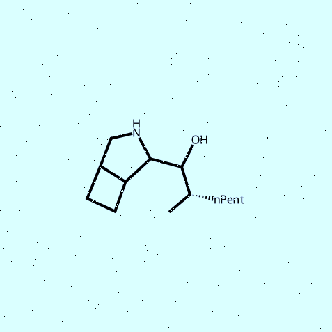 CCCCC[C@H](C)C(O)C1NCC2CCC21